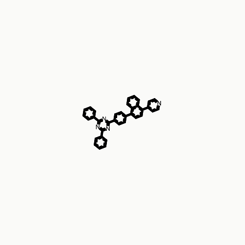 c1ccc(-c2nc(-c3ccccc3)nc(-c3ccc(-c4ccc(-c5ccncc5)c5ccccc45)cc3)n2)cc1